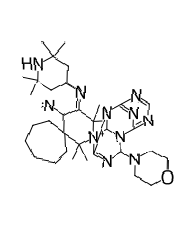 CC1(C)CC(N=C2C([N])C3(CCCCCC3)C(C)(C)[N+]3(C4=NC(N5CCOCC5)N5c6ncnc(n6)N4C53)C2(C)C)CC(C)(C)N1